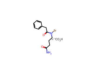 NC(=O)CC[C@@H](C(=O)O)N(Br)C(=O)Cc1ccccc1